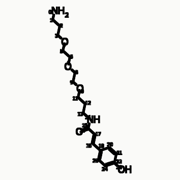 NCCCOCCOCCOCCCNC(=O)C=Cc1ccc(O)cc1